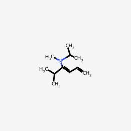 C=C/C=C(/C(C)C)N(C)C(C)C